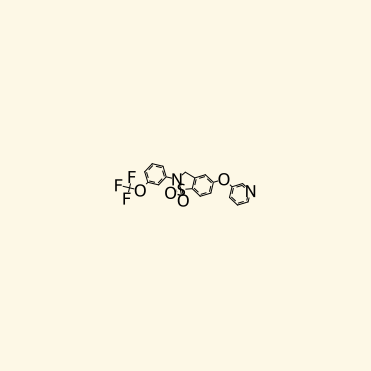 O=S1(=O)c2ccc(Oc3cccnc3)cc2CN1c1cccc(OC(F)(F)F)c1